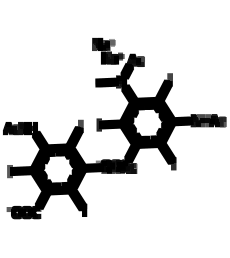 CC(=O)Nc1c(I)c(C(=O)[O-])c(I)c(N(C)C(C)=O)c1I.CC(=O)Nc1c(I)c(NC(C)=O)c(I)c(C(=O)[O-])c1I.[Na+].[Na+]